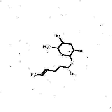 C/C=C/CC[C@@H](C)OC1O[C@@H](C)C(O)C[C@H]1O